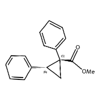 COC(=O)[C@@]1(c2ccccc2)C[C@@H]1c1ccccc1